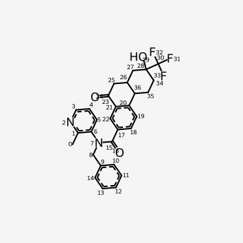 Cc1ncccc1N(Cc1ccccc1)C(=O)c1ccc2c(c1)C(=O)CC1CC(O)(C(F)(F)F)CCC21